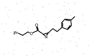 Cc1ccc(CCC2=NC2C(=O)OCCC(C)C)cc1